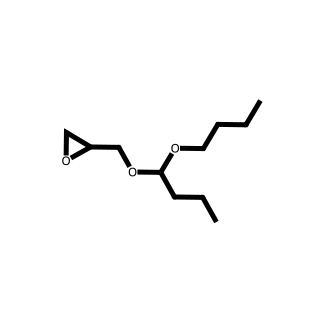 CCCCOC(CCC)OCC1CO1